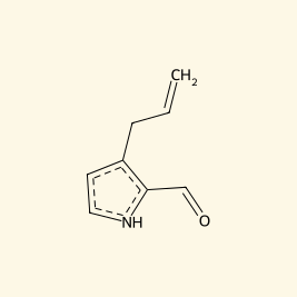 C=CCc1cc[nH]c1C=O